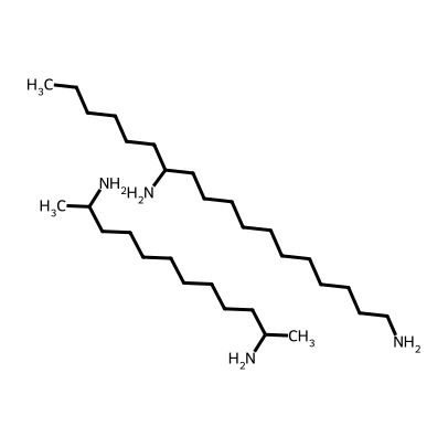 CC(N)CCCCCCCCC(C)N.CCCCCCC(N)CCCCCCCCCCCN